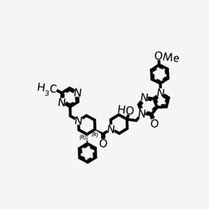 COc1ccc(-n2ccc3c(=O)n(CC4(O)CCN(C(=O)[C@@H]5CCN(Cc6cncc(C)n6)C[C@H]5c5ccccc5)CC4)cnc32)cc1